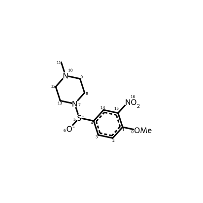 COc1ccc([S+]([O-])N2CCN(C)CC2)cc1[N+](=O)[O-]